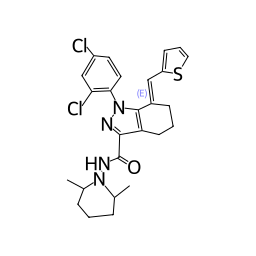 CC1CCCC(C)N1NC(=O)c1nn(-c2ccc(Cl)cc2Cl)c2c1CCC/C2=C\c1cccs1